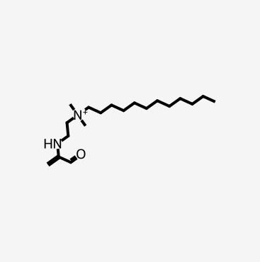 C=C(C=O)NCC[N+](C)(C)CCCCCCCCCCCC